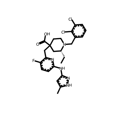 CC[C@@H]1CC(Cc2nc(Nc3cc(C)[nH]n3)ccc2F)(C(=O)O)CCN1Cc1cccc(Cl)c1Cl